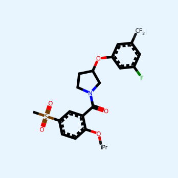 CC(C)Oc1ccc(S(C)(=O)=O)cc1C(=O)N1CCC(Oc2cc(F)cc(C(F)(F)F)c2)C1